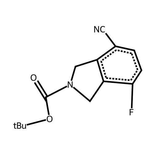 CC(C)(C)OC(=O)N1Cc2c(F)ccc(C#N)c2C1